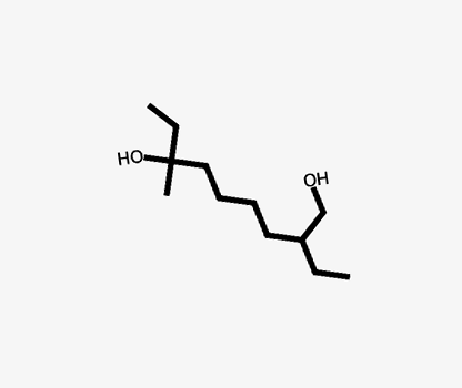 CCC(CO)CCCCC(C)(O)CC